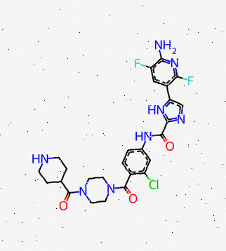 Nc1nc(F)c(-c2cnc(C(=O)Nc3ccc(C(=O)N4CCN(C(=O)C5CCNCC5)CC4)c(Cl)c3)[nH]2)cc1F